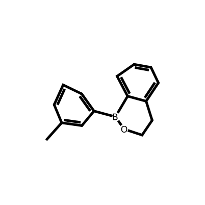 Cc1cccc(B2OCCc3ccccc32)c1